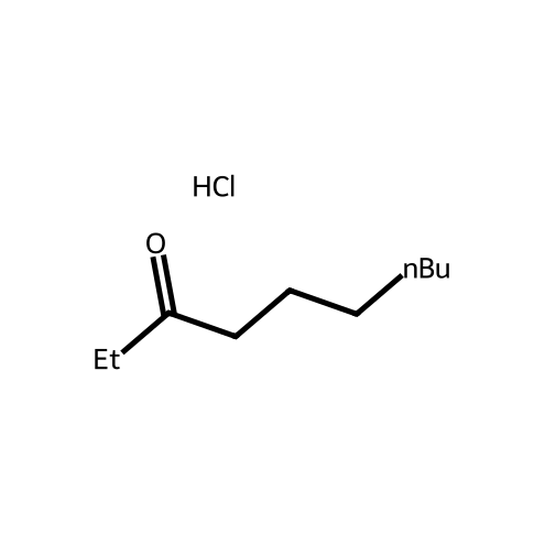 CCCCCCCC(=O)CC.Cl